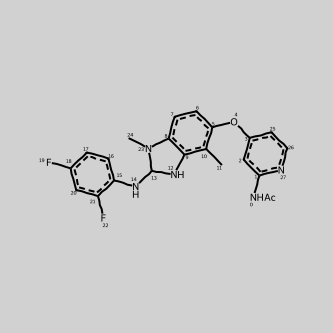 CC(=O)Nc1cc(Oc2ccc3c(c2C)NC(Nc2ccc(F)cc2F)N3C)ccn1